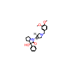 COc1ccc(CN2CC3[C@H](C2)[C@H]3NC(=O)C(O)(c2ccccc2)C2CCCC2)cc1OC